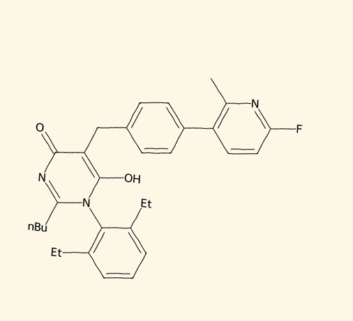 CCCCc1nc(=O)c(Cc2ccc(-c3ccc(F)nc3C)cc2)c(O)n1-c1c(CC)cccc1CC